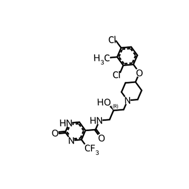 Cc1c(Cl)ccc(OC2CCN(C[C@H](O)CNC(=O)c3c[nH]c(=O)nc3C(F)(F)F)CC2)c1Cl